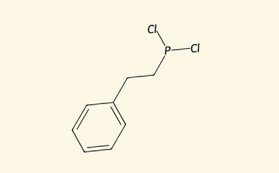 ClP(Cl)CCc1ccccc1